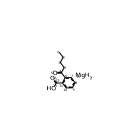 CCCCC(=O)c1ccccc1C(=O)O.[MgH2]